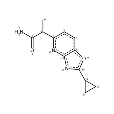 CC(C(N)=O)c1ccc2oc(C3CC3)nc2n1